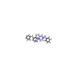 c1ccc(Cc2ccnc3c2CCC2CN(Cc4ccccc4)CCN32)cc1